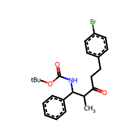 CC(C(=O)CCc1ccc(Br)cc1)C(NC(=O)OC(C)(C)C)c1ccccc1